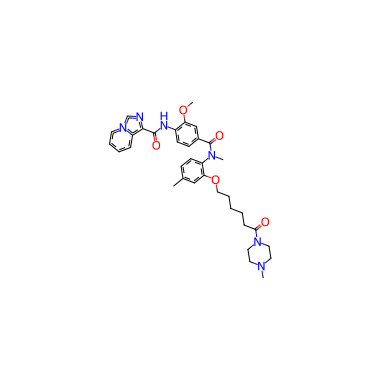 COc1cc(C(=O)N(C)c2ccc(C)cc2OCCCCCC(=O)N2CCN(C)CC2)ccc1NC(=O)c1ncn2ccccc12